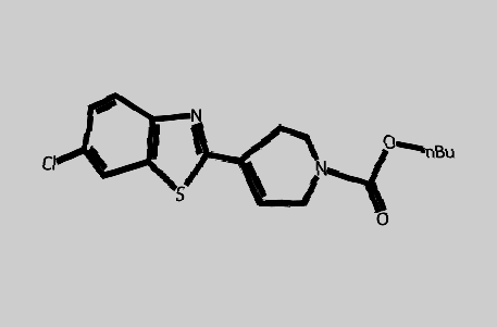 CCCCOC(=O)N1CC=C(c2nc3ccc(Cl)cc3s2)CC1